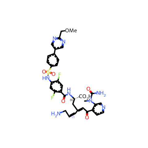 COCc1ncc(-c2ccc(S(=O)(=O)Nc3cc(F)c(C(=O)N[C@@H](CC(=CC(=O)c4ccncc4N(C)C(N)=O)/C=C\CN)C(=O)O)cc3F)cc2)cn1